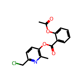 CC(=O)Oc1ccccc1C(=O)Oc1ccc(CCl)nc1C